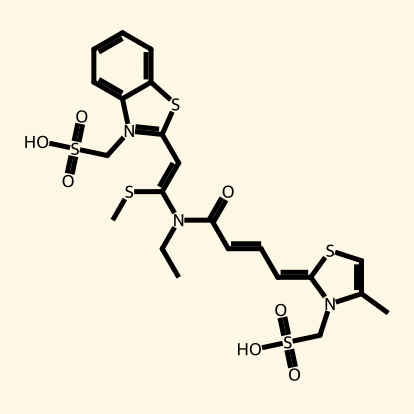 CCN(C(=O)C=CC=C1SC=C(C)N1CS(=O)(=O)O)C(=Cc1sc2ccccc2[n+]1CS(=O)(=O)O)SC